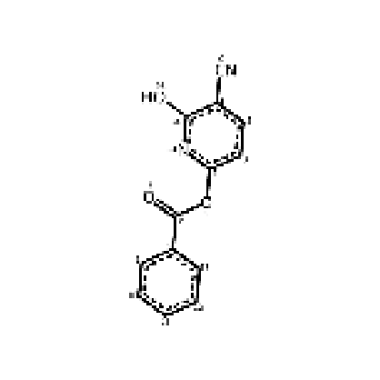 N#Cc1ccc(OC(=O)c2ccccc2)nc1O